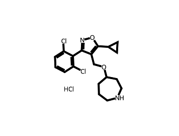 Cl.Clc1cccc(Cl)c1-c1noc(C2CC2)c1COC1CCCNCC1